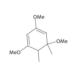 COC1=CC(C)(OC)C(C)C(OC)=C1